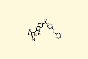 O=C(c1ccc2cc(-c3n[nH]c4ccsc34)[nH]c2c1)N1CCN(CCC2CCCCC2)CC1